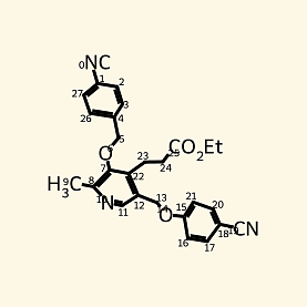 [C-]#[N+]c1ccc(COc2c(C)ncc(COc3ccc(C#N)cc3)c2CCC(=O)OCC)cc1